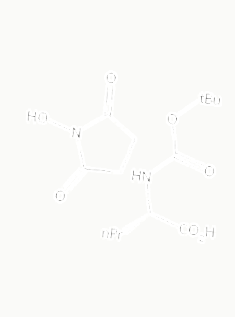 CCC[C@H](NC(=O)OC(C)(C)C)C(=O)O.O=C1CCC(=O)N1O